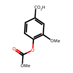 COC(=O)Oc1ccc(C(=O)O)cc1OC